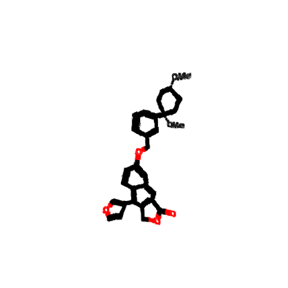 CO[C@H]1CC[C@](OC)(c2cccc(COc3ccc4c(-c5ccoc5)c5c(cc4c3)C(=O)OC5)c2)CC1